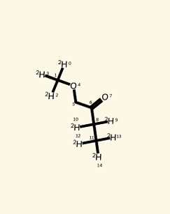 [2H]C([2H])([2H])OCC(=O)C([2H])([2H])C([2H])([2H])[2H]